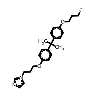 CC(C)(c1ccc(OCCCCl)cc1)c1ccc(OCCCn2ccnc2)cc1